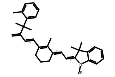 C=C(/C=C/C1=C(C)C(=C/C=C2/N(CCC)c3ccccc3C2(C)C)/CCC1)C(C)(C)c1ccccc1C